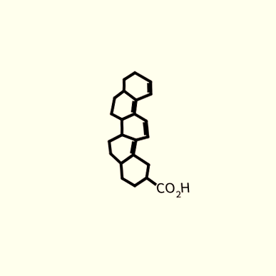 O=C(O)C1CCC2CCC3C(=C2C1)C=CC1=C2C=CCCC2CCC13